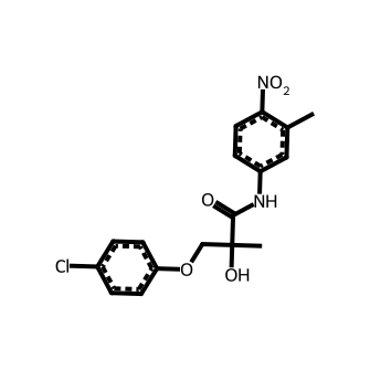 Cc1cc(NC(=O)C(C)(O)COc2ccc(Cl)cc2)ccc1[N+](=O)[O-]